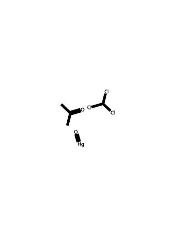 CC(C)=O.ClC(Cl)Cl.[O]=[Hg]